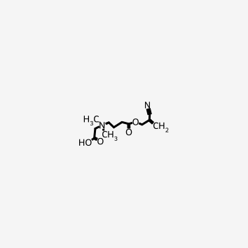 C=C(C#N)COC(=O)CCC[N+](C)(C)CC(=O)O